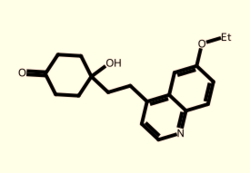 CCOc1ccc2nccc(CCC3(O)CCC(=O)CC3)c2c1